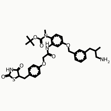 CC(CN)Cc1cccc(COc2ccc(N(C)C(=O)OC(C)(C)C)c(NC(=O)COc3ccc(CC4SC(=O)NC4=O)cc3)c2)c1